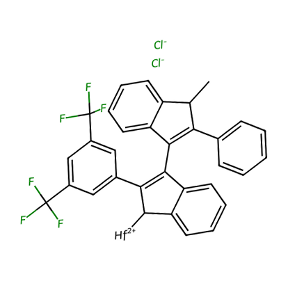 CC1C(c2ccccc2)=C(C2=C(c3cc(C(F)(F)F)cc(C(F)(F)F)c3)[CH]([Hf+2])c3ccccc32)c2ccccc21.[Cl-].[Cl-]